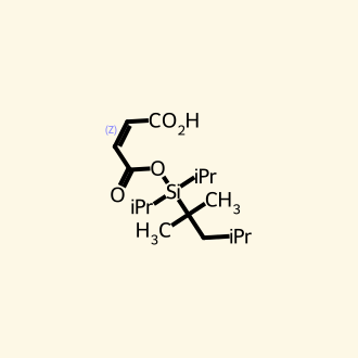 CC(C)CC(C)(C)[Si](OC(=O)/C=C\C(=O)O)(C(C)C)C(C)C